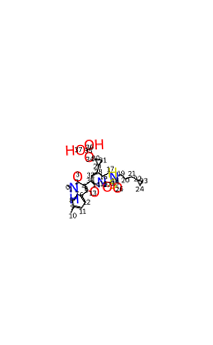 CNC(=O)c1c(-c2ccc(C)cc2)oc2nc(CN(CCCC3CC3)[SH](=O)=O)c(C3CC3)cc12.O=C(O)O